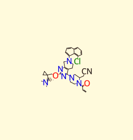 C=CC(=O)N1CCN(c2nc(OCC3([C@H](C)N(C)C)CC3)nc3c2CCN(c2cccc4cccc(Cl)c24)C3)CC1CC#N